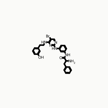 NC(Cc1ccccc1)C(=O)Nc1cccc(Nc2ncc(Br)c(NCCc3cccc(O)c3)n2)c1